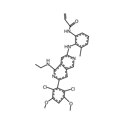 C=CC(=O)Nc1cccc(C)c1Nc1cc2c(NCC)nc(-c3c(Cl)c(OC)cc(OC)c3Cl)cc2cn1